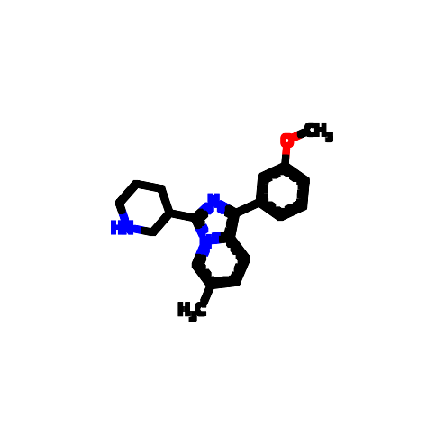 COc1cccc(-c2nc(C3CCCNC3)n3cc(C)ccc23)c1